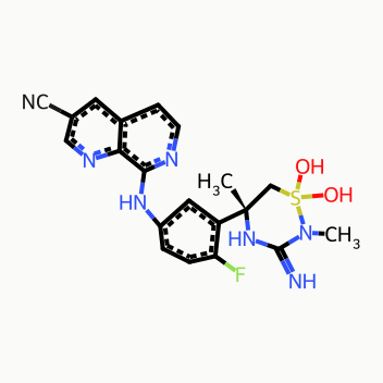 CN1C(=N)N[C@](C)(c2cc(Nc3nccc4cc(C#N)cnc34)ccc2F)CS1(O)O